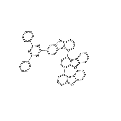 c1ccc(-c2nc(-c3ccccc3)nc(-c3ccc4c(c3)sc3cccc(-c5ccc(-c6cccc7oc8ccccc8c67)c6oc7ccccc7c56)c34)n2)cc1